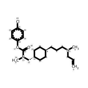 C=CCN(C)CCC[C@H]1CC[C@H](CN(C)C(=O)Oc2ccc(Cl)cc2)CC1